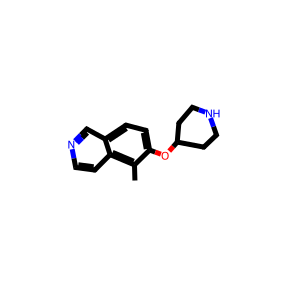 Cc1c(OC2CCNCC2)ccc2cnccc12